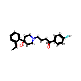 CCc1ccccc1C1(O)CCN(CCCC(=O)c2ccc(F)cc2)CC1